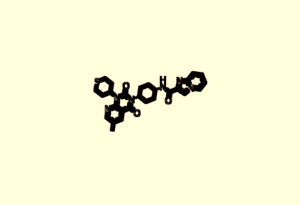 Cc1cnc2c(c1)c(=O)n([C@H]1CC[C@@H](NC(=O)c3cn4ccccc4n3)CC1)c(=O)n2C1CCSCC1